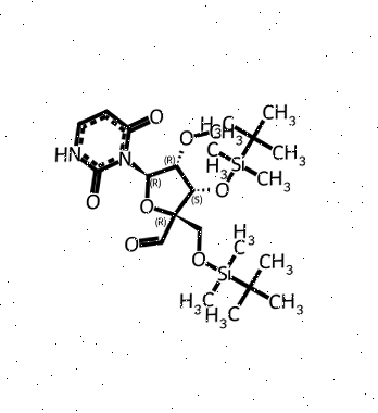 CO[C@H]1[C@H](n2c(=O)cc[nH]c2=O)O[C@](C=O)(CO[Si](C)(C)C(C)(C)C)[C@H]1O[Si](C)(C)C(C)(C)C